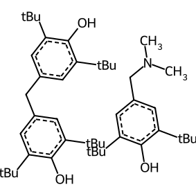 CC(C)(C)c1cc(Cc2cc(C(C)(C)C)c(O)c(C(C)(C)C)c2)cc(C(C)(C)C)c1O.CN(C)Cc1cc(C(C)(C)C)c(O)c(C(C)(C)C)c1